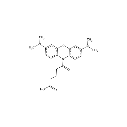 CN(C)c1ccc2c(c1)Sc1cc(N(C)C)ccc1N2C(=O)CCCC(=O)O